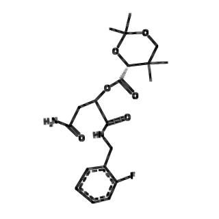 CC1(C)OCC(C)(C)[C@H](C(=O)OC(CC(N)=O)C(=O)NCc2ccccc2F)O1